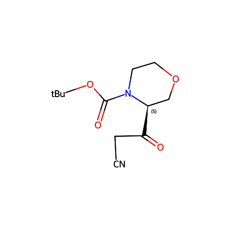 CC(C)(C)OC(=O)N1CCOC[C@H]1C(=O)CC#N